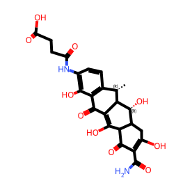 C[C@H]1c2ccc(NC(=O)CCC(=O)O)c(O)c2C(=O)C2=C(O)C3C(=O)C(C(N)=O)=C(O)CC3[C@@H](O)C21